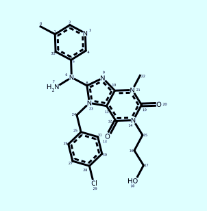 Cc1cncc(N(N)c2nc3c(c(=O)n(CCCO)c(=O)n3C)n2Cc2ccc(Cl)cc2)c1